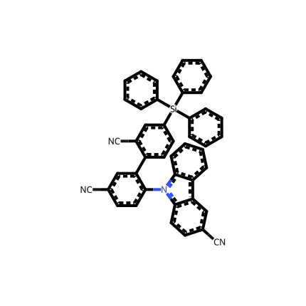 N#Cc1ccc(-n2c3ccccc3c3cc(C#N)ccc32)c(-c2ccc([Si](c3ccccc3)(c3ccccc3)c3ccccc3)cc2C#N)c1